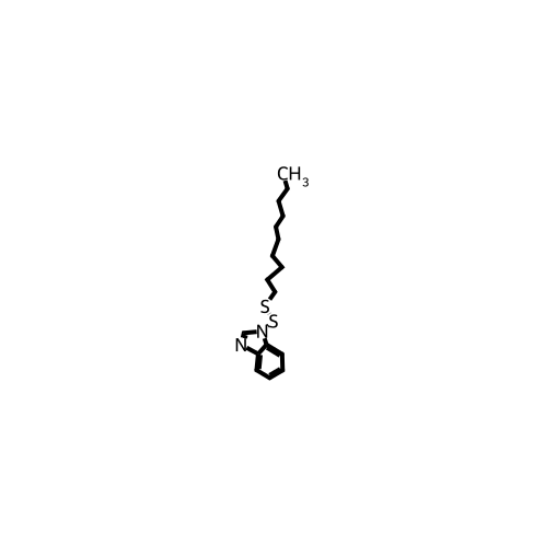 CCCCCCCCCCSSn1cnc2ccccc21